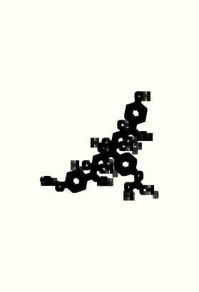 CCOC(C)Oc1ccc(C(C(C)(C)CC(C)(C)C(c2ccc(O)cc2)C(C)(C)C)C(C)(C)CC(C)(C)C(c2ccc(OC(C)(C)C)cc2)C(C)(C)C)cc1